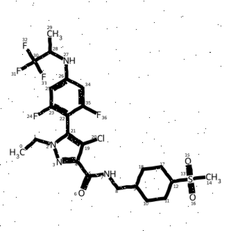 CCn1nc(C(=O)NCC2CCC(S(C)(=O)=O)CC2)c(Cl)c1-c1c(F)cc(NC(C)C(F)(F)F)cc1F